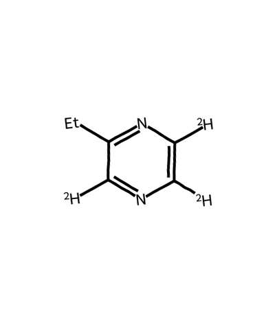 [2H]c1nc([2H])c(CC)nc1[2H]